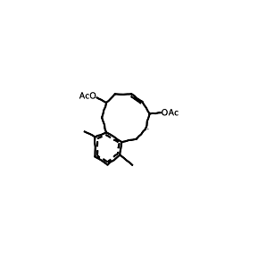 CC(=O)OC1[CH]Cc2c(C)ccc(C)c2CC(OC(C)=O)C/C=C\1